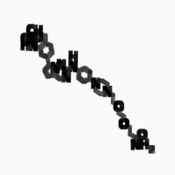 CS(=O)(=O)Nc1cccc(-c2ccc3cnc(Nc4ccc(N5CCN(CCOCCOCCC(N)=O)CC5)cc4)nn23)c1